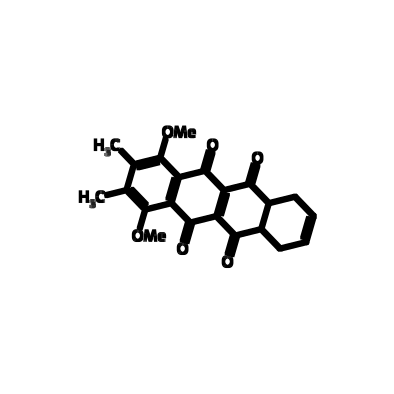 COc1c(C)c(C)c(OC)c2c1C(=O)C1=C(C2=O)C(=O)C2CC=CCC2C1=O